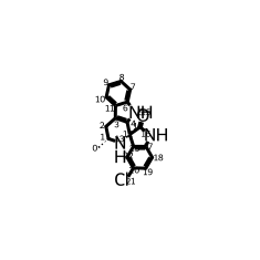 C[C@@H]1Cc2c([nH]c3ccccc23)[C@@]2(N1)C(=O)Nc1ccc(Cl)cc12